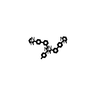 Cc1ccc(-c2nc(-c3cccc(-c4ccc(-c5ncccn5)cc4)c3)nc(-c3cccc(-c4ccc(-c5ncccn5)cc4)c3)n2)cc1